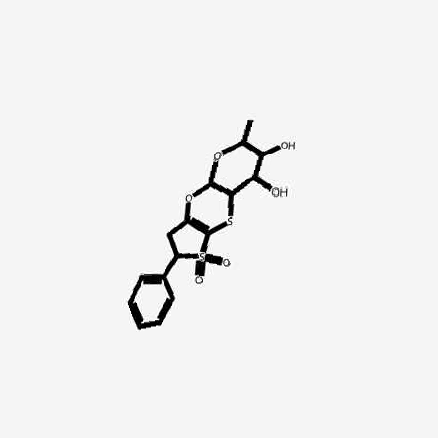 CC1OC2OC3=C(SC2C(O)C1O)S(=O)(=O)C(c1ccccc1)C3